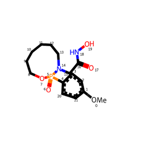 COc1ccc(P2(=O)OCCCCCCN2CC(=O)NO)cc1